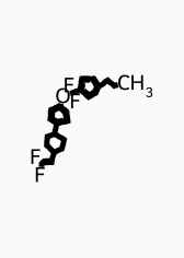 CCCc1ccc(C(F)(F)Oc2ccc(C3CCC(C=C(F)F)CC3)cc2)cc1